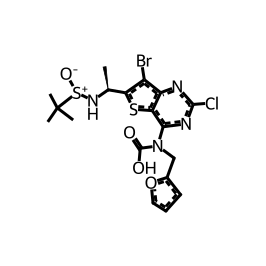 C[C@H](N[S+]([O-])C(C)(C)C)c1sc2c(N(Cc3ccco3)C(=O)O)nc(Cl)nc2c1Br